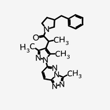 Cc1nn(-c2ccc3nnc(C)n3n2)c(C)c1C(C)C(=O)N1CCC(Cc2ccccc2)C1